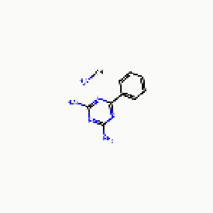 N#CN.Nc1nc(N)nc(-c2ccccc2)n1